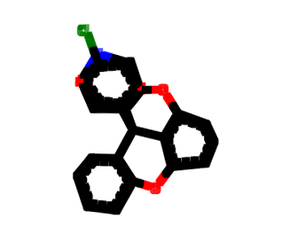 Clc1ccc(C23c4ccccc4Oc4cccc(c42)Oc2cnccc23)cc1